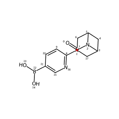 O=CN1C2CC1CN(c1ccc(B(O)O)cn1)C2